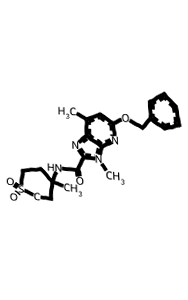 Cc1cc(OCc2ccccc2)nc2c1nc(C(=O)NC1(C)CCS(=O)(=O)CC1)n2C